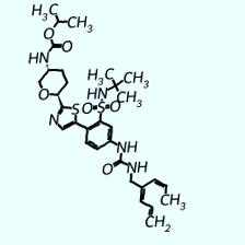 C=C/C=C(\C=C/C)CNC(=O)Nc1ccc(-c2cnc([C@@H]3CC[C@@H](NC(=O)OC(C)C)CO3)s2)c(S(=O)(=O)NC(C)(C)C)c1